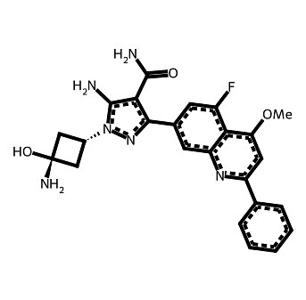 COc1cc(-c2ccccc2)nc2cc(-c3nn([C@H]4C[C@@](N)(O)C4)c(N)c3C(N)=O)cc(F)c12